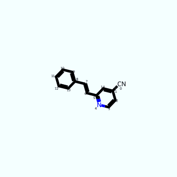 N#Cc1ccnc(C=Cc2ccccc2)c1